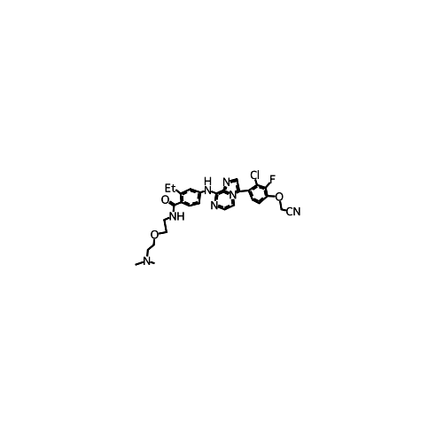 CCc1cc(Nc2nccn3c(-c4ccc(OCC#N)c(F)c4Cl)cnc23)ccc1C(=O)NCCOCCN(C)C